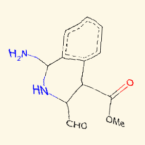 COC(=O)C1c2ccccc2C(N)NC1C=O